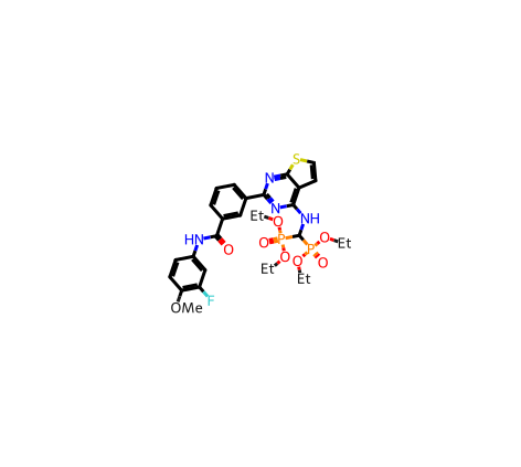 CCOP(=O)(OCC)C(Nc1nc(-c2cccc(C(=O)Nc3ccc(OC)c(F)c3)c2)nc2sccc12)P(=O)(OCC)OCC